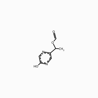 CC(OC=O)c1cnc(O)cn1